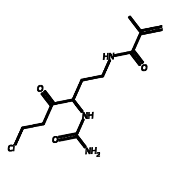 C=C(C)C(=O)NCCC(NC(N)=O)C(=O)CCCl